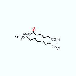 COC(=O)CCCCC(=O)O.O=C(O)CCCCCCCC(=O)O